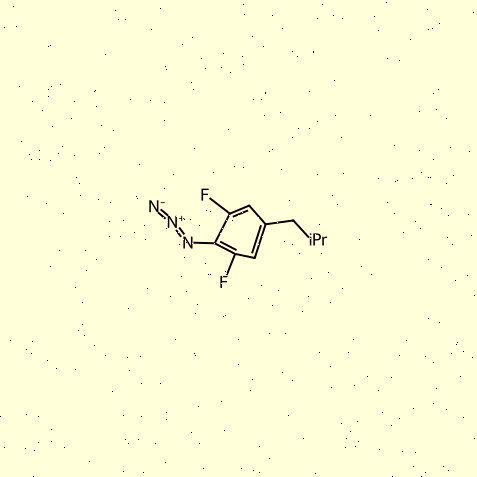 CC(C)Cc1cc(F)c(N=[N+]=[N-])c(F)c1